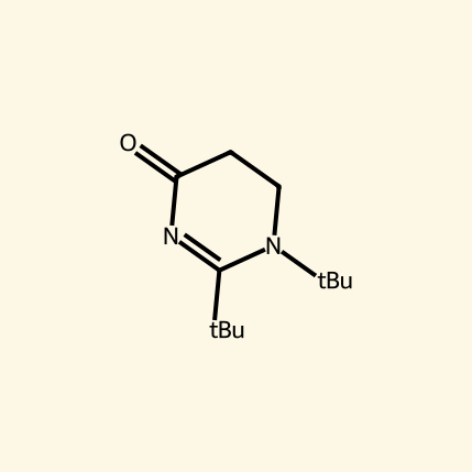 CC(C)(C)C1=NC(=O)CCN1C(C)(C)C